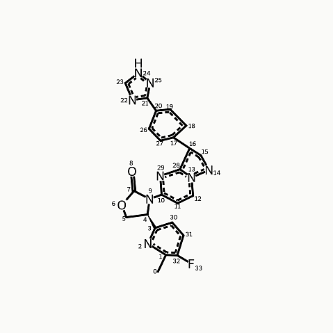 Cc1nc([C@H]2COC(=O)N2c2ccn3ncc(-c4ccc(-c5nc[nH]n5)cc4)c3n2)ccc1F